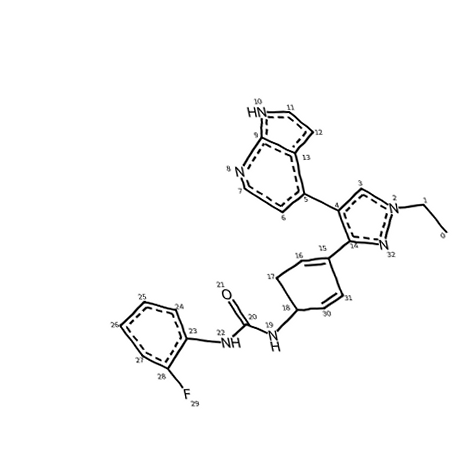 CCn1cc(-c2ccnc3[nH]ccc23)c(C2=CCC(NC(=O)Nc3ccccc3F)C=C2)n1